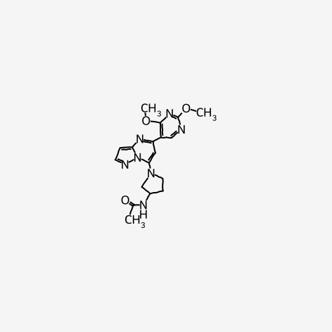 COc1ncc(-c2cc(N3CCC(NC(C)=O)C3)n3nccc3n2)c(OC)n1